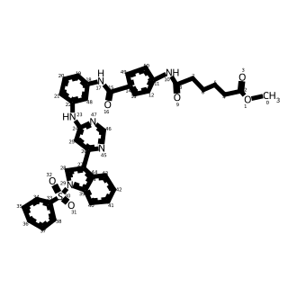 COC(=O)CCCCC(=O)Nc1ccc(C(=O)Nc2cccc(Nc3cc(-c4cn(S(=O)(=O)c5ccccc5)c5ccccc45)ncn3)c2)cc1